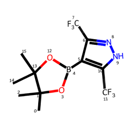 CC1(C)OB(c2c(C(F)(F)F)n[nH]c2C(F)(F)F)OC1(C)C